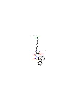 CCCCCCCC(F)(F)CCCCCC/C=C/[C@H](C(=O)N1C(=O)SC(c2ccccc2)(c2ccccc2)[C@@H]1C(C)C)[C@@](O)(COC)C(=O)O